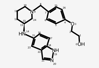 OCCOc1ccc(CN2CCC[C@H](Nc3ccc4[nH]ncc4c3)C2)cc1